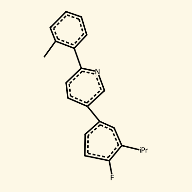 Cc1ccccc1-c1ccc(-c2ccc(F)c(C(C)C)c2)cn1